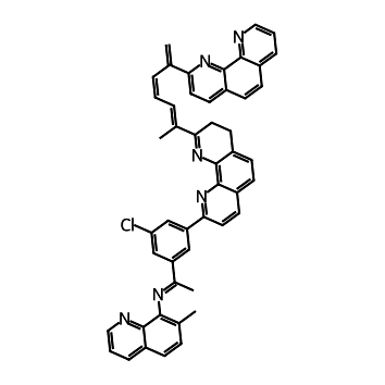 C=C(/C=C\C=C(/C)C1=Nc2c(ccc3ccc(-c4cc(Cl)cc(/C(C)=N/c5c(C)ccc6cccnc56)c4)nc23)CC1)c1ccc2ccc3cccnc3c2n1